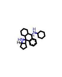 c1ccc2c(c1)[C@H](NC1CCCCC1)C1CCCCC1C21N[C@H]2CCCC21